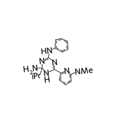 CNc1cccc(C2=NC(Nc3ccccc3)=NC(N)(C(C)C)N2)n1